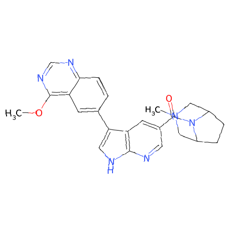 COc1ncnc2ccc(-c3c[nH]c4ncc(C(=O)N5C6CCC5CN(C)C6)cc34)cc12